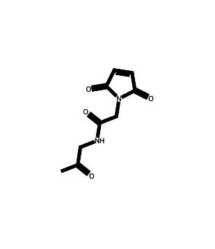 CC(=O)CNC(=O)CN1C(=O)C=CC1=O